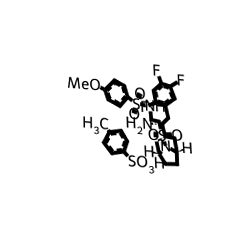 COc1ccc(S(=O)(=O)NCCS(=O)(=O)N2[C@@H]3CC[C@H]2C[C@H]([C@H](N)Cc2cc(F)c(F)cc2F)C3)cc1.Cc1ccc(S(=O)(=O)O)cc1